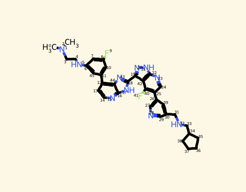 CN(C)CCNc1cc(F)cc(-c2ccnc3[nH]c(-c4n[nH]c5ncc(-c6cncc(CNCC7CCCC7)c6)c(F)c45)nc23)c1